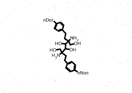 CCCCCCCCCCc1ccc(CCC(N)(CO)C(O)C(O)C(N)(CO)CCc2ccc(CCCCCCCCC)cc2)cc1